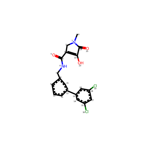 CN1CC(C(=O)NCc2cccc(-c3cc(Cl)cc(Cl)c3)c2)=C(O)C1=O